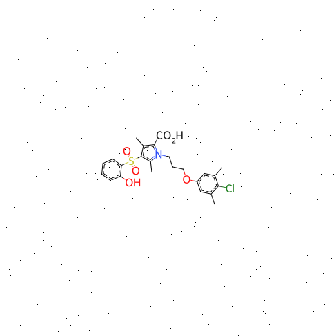 Cc1cc(OCCCn2c(C)c(S(=O)(=O)c3ccccc3O)c(C)c2C(=O)O)cc(C)c1Cl